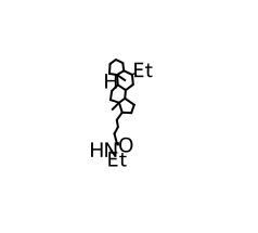 CCNC(=O)CCCC1CCC2C3C[C@H](CC)C4CCCCC4(C)[C@H]3CCC12C